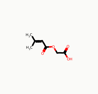 CC(C)=CC(=O)OCC(=O)O